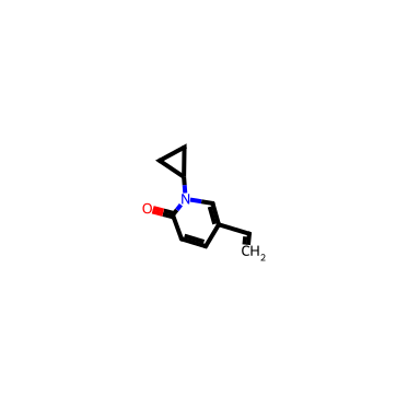 C=Cc1ccc(=O)n(C2CC2)c1